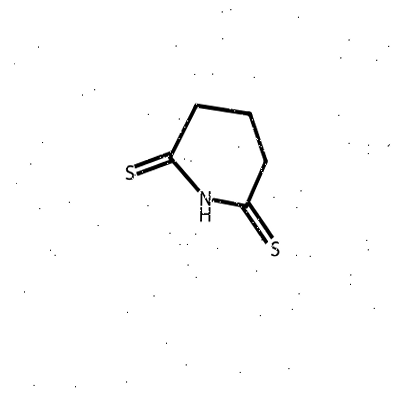 S=C1CCCC(=S)N1